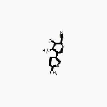 Cc1ccc(-c2cnc(C#N)c(Cl)c2C)cn1